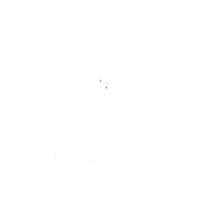 CC1(C)CC(C)(C)c2cc(N(c3ccccc3)c3ccccc3)ccc21